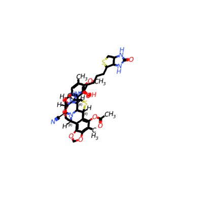 COc1c(C)cc2c(c1O)[C@@H]1C3[C@@H]4SC[C@H](NC(=O)CCCCC5SCC6NC(=O)NC65)C(=O)OC[C@@H](c5c6c(c(C)c(OC(C)=O)c54)OCO6)N3[C@@H](C#N)[C@H](C2)N1C